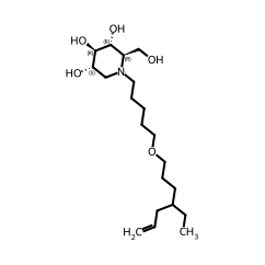 C=CCC(CC)CCCOCCCCCN1C[C@H](O)[C@@H](O)[C@H](O)[C@H]1CO